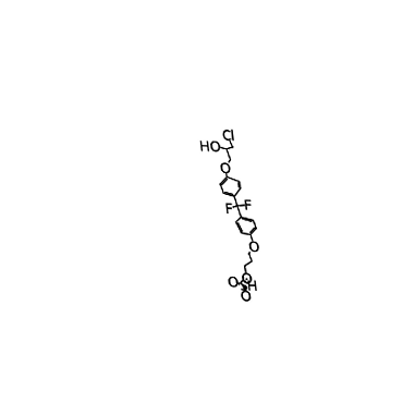 O=[SH](=O)OCCCOc1ccc(C(F)(F)c2ccc(OCC(O)CCl)cc2)cc1